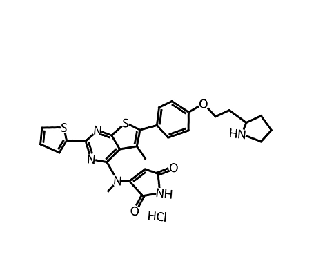 Cc1c(-c2ccc(OCCC3CCCN3)cc2)sc2nc(-c3cccs3)nc(N(C)C3=CC(=O)NC3=O)c12.Cl